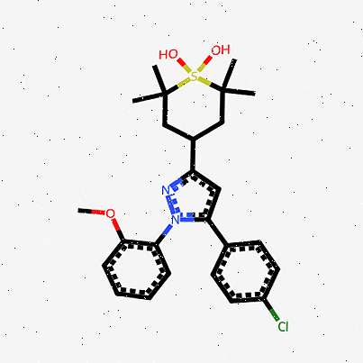 COc1ccccc1-n1nc(C2CC(C)(C)S(O)(O)C(C)(C)C2)cc1-c1ccc(Cl)cc1